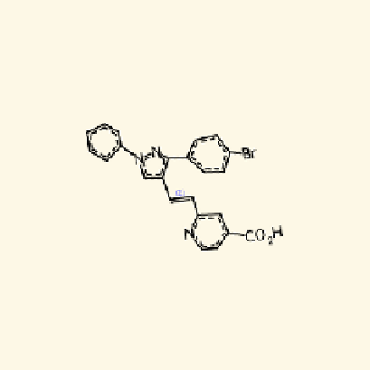 O=C(O)c1ccnc(/C=C/c2cn(-c3ccccc3)nc2-c2ccc(Br)cc2)c1